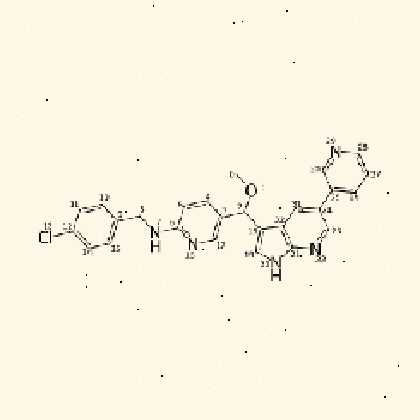 COC(c1ccc(NCc2ccc(Cl)cc2)nc1)c1c[nH]c2ncc(-c3cccnc3)cc12